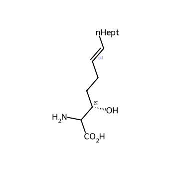 CCCCCCC/C=C/CC[C@H](O)C(N)C(=O)O